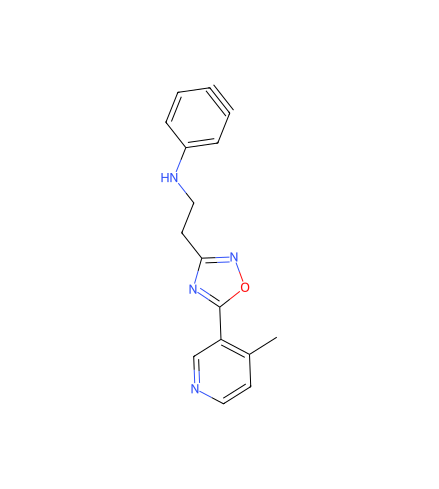 Cc1ccncc1-c1nc(CCNc2cc#ccc2)no1